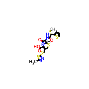 CSC(C(=O)NC1C(=O)N2C(C(=O)O)=C(CSc3nnc(C)s3)CS[C@H]12)c1cccs1